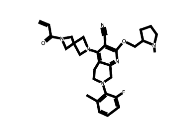 C=CC(=O)N1CC2(C1)CN(c1c(C#N)c(OCC3CCCN3C)nc3c1CCN(c1c(C)cccc1F)C3)C2